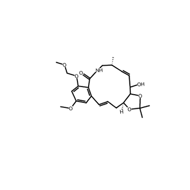 COCOc1cc(OC)cc2c1C(=O)NC[C@H](C)/C=C\C(O)C1OC(C)(C)O[C@H]1C/C=C/2